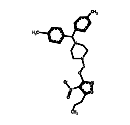 CCCc1onc(OSN2CCN(C(c3ccc(C)cc3)c3ccc(C)cc3)CC2)c1[N+](=O)[O-]